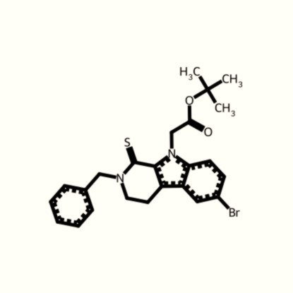 CC(C)(C)OC(=O)Cn1c2c(c3cc(Br)ccc31)CCN(Cc1ccccc1)C2=S